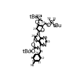 CC(C)(C)OC(=O)N(Cc1ccc(I)cc1)c1ncnc2c1ncn2[C@H]1CC(O[Si](C)(C)C(C)(C)C)[C@@H](CO[Si](C)(C)C(C)(C)C)O1